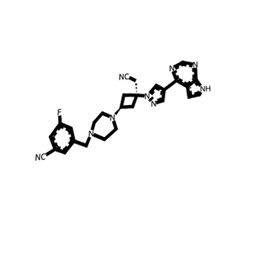 N#CC[C@]1(n2cc(-c3ncnc4[nH]ccc34)cn2)C[C@@H](N2CCN(Cc3cc(F)cc(C#N)c3)CC2)C1